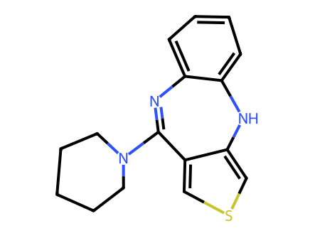 c1ccc2c(c1)N=C(N1CCCCC1)c1cscc1N2